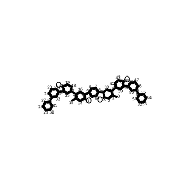 CC1=CC2Oc3c(ccc4c3oc3cc(C)c(-c5ccc6oc7ccc(-c8ccccc8)cc7c6c5)cc34)C2C=C1c1ccc2oc3ccc(-c4ccccc4)cc3c2c1